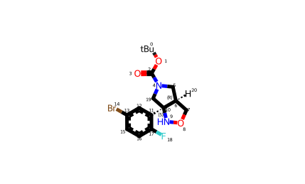 CC(C)(C)OC(=O)N1C[C@H]2CON[C@@]2(c2cc(Br)ccc2F)C1